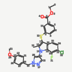 CCOC(=O)c1cccc(Sc2c(C)n(-c3cnn(Cc4ccc(OC)cc4)c3)c3c(F)c(Cl)ccc23)c1